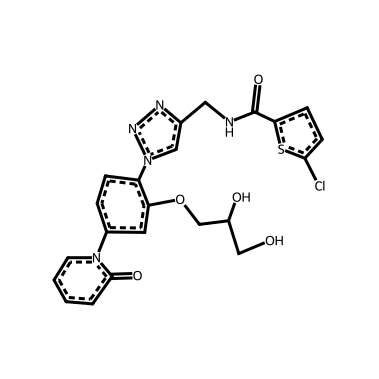 O=C(NCc1cn(-c2ccc(-n3ccccc3=O)cc2OCC(O)CO)nn1)c1ccc(Cl)s1